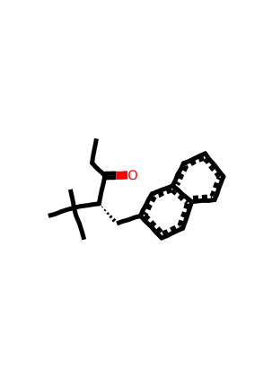 CCC(=O)[C@H](Cc1ccc2ccccc2c1)C(C)(C)C